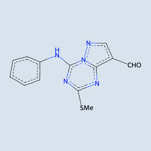 CSc1nc(Nc2ccccc2)n2ncc(C=O)c2n1